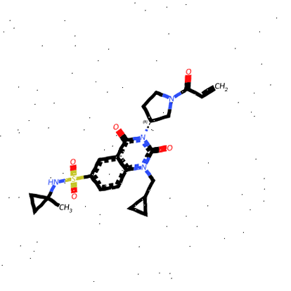 C=CC(=O)N1CC[C@@H](n2c(=O)c3cc(S(=O)(=O)NC4(C)CC4)ccc3n(CC3CC3)c2=O)C1